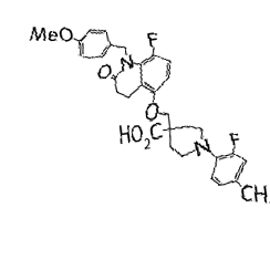 COc1ccc(CN2C(=O)CCc3c(OCC4(C(=O)O)CCN(c5ccc(C)cc5F)CC4)ccc(F)c32)cc1